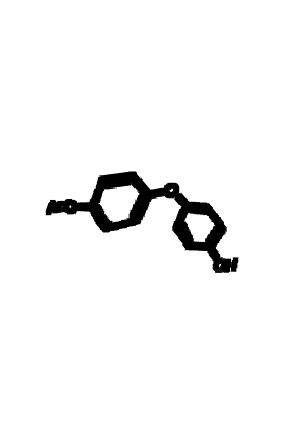 CC(=O)Oc1ccc(Oc2ccc(O)cc2)cc1